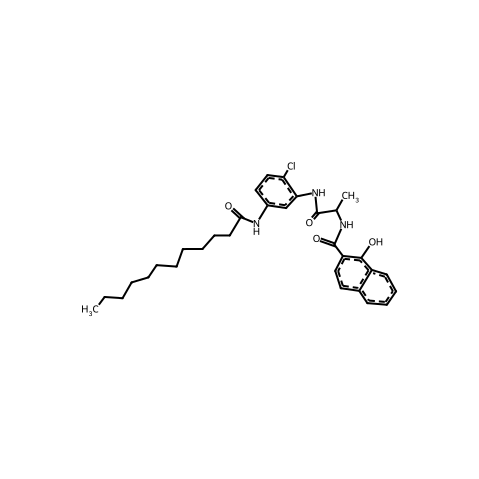 CCCCCCCCCCCC(=O)Nc1ccc(Cl)c(NC(=O)C(C)NC(=O)c2ccc3ccccc3c2O)c1